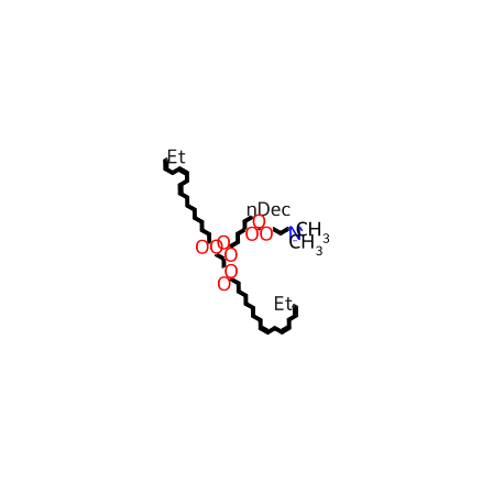 CC/C=C\C/C=C\C/C=C\CCCCCCCC(=O)OCC(COC(=O)CCCCCCC/C=C\C/C=C\C/C=C\CC)OC(=O)CCC(CCCCCCCCCCCC)OC(=O)OCCCN(C)C